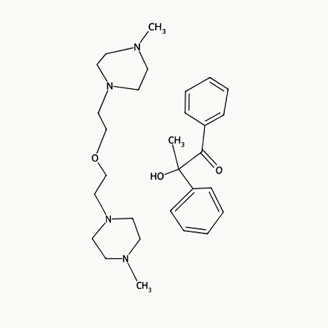 CC(O)(C(=O)c1ccccc1)c1ccccc1.CN1CCN(CCOCCN2CCN(C)CC2)CC1